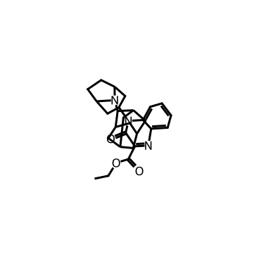 CCOC(=O)c1nc2ccccc2n(C2CC3CCC(C2)N3C2C3CC4CC(C3)CC2C4)c1=O